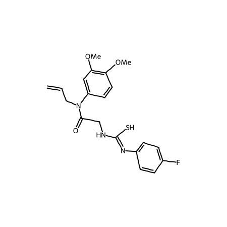 C=CCN(C(=O)CNC(S)=Nc1ccc(F)cc1)c1ccc(OC)c(OC)c1